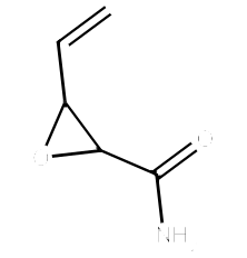 C=CC1OC1C(N)=O